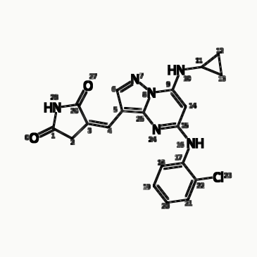 O=C1CC(=Cc2cnn3c(NC4CC4)cc(Nc4ccccc4Cl)nc23)C(=O)N1